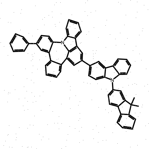 CC1(C)c2ccccc2-c2ccc(-n3c4ccccc4c4cc(-c5cc6c7c(c5)c5ccccc5n7-c5ccc(-c7ccccc7)cc5-c5ccccc5-6)ccc43)cc21